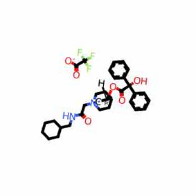 O=C(C[N+]12CCC(CC1)[C@@H](OC(=O)C(O)(c1ccccc1)c1ccccc1)C2)NCC1CCCCC1.O=C([O-])C(F)(F)F